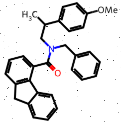 COc1ccc(C(C)CN(Cc2ccccc2)C(=O)c2cccc3c2-c2ccccc2C3)cc1